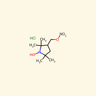 CC1(C)CC(CO[N+](=O)[O-])C(C)(C)N1O.Cl